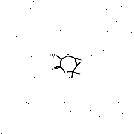 CC1OC2OC2C(F)(F)OC1=O